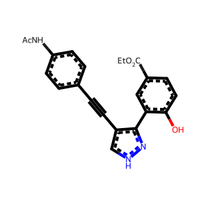 CCOC(=O)c1ccc(O)c(-c2n[nH]cc2C#Cc2ccc(NC(C)=O)cc2)c1